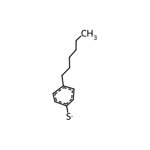 CCCCCCc1ccc([S])cc1